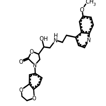 COc1ccc2nccc(CCNCC(O)C3CN(c4ccc5c(c4)OCCO5)C(=O)O3)c2c1